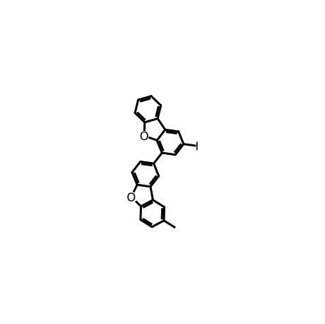 Cc1ccc2oc3ccc(-c4cc(I)cc5c4oc4ccccc45)cc3c2c1